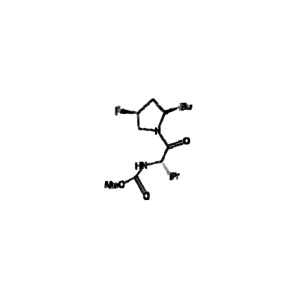 CC[C@H](C)C1C[C@H](F)CN1C(=O)[C@@H](NC(=O)OC)C(C)C